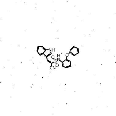 N#C/C(=C/c1c[nH]c2ccccc12)S(=O)(=O)Nc1ccccc1Oc1ccccc1